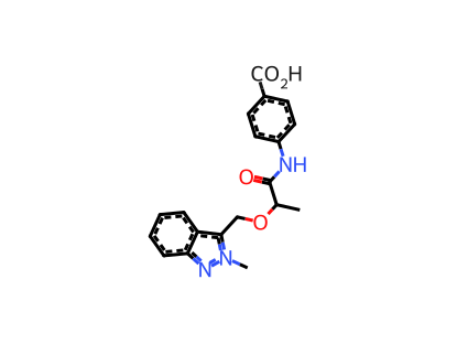 CC(OCc1c2ccccc2nn1C)C(=O)Nc1ccc(C(=O)O)cc1